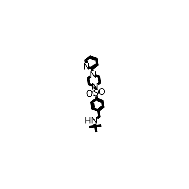 CC(C)(C)NCc1ccc(S(=O)(=O)N2CCN(c3ccccn3)CC2)cc1